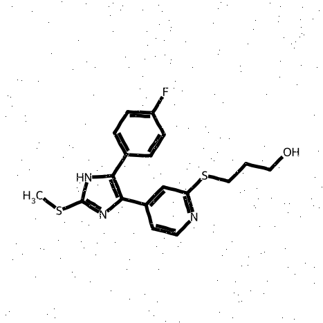 CSc1nc(-c2ccnc(SCCCO)c2)c(-c2ccc(F)cc2)[nH]1